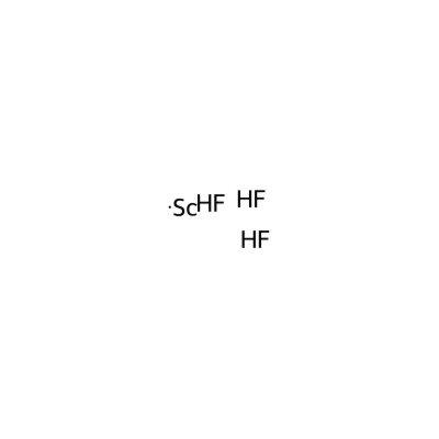 F.F.F.[Sc]